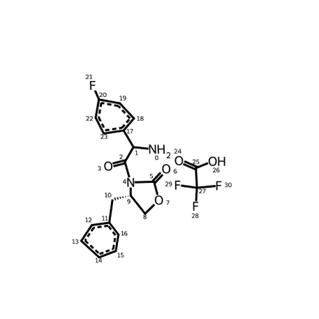 NC(C(=O)N1C(=O)OC[C@@H]1Cc1ccccc1)c1ccc(F)cc1.O=C(O)C(F)(F)F